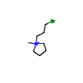 C[N+]1(CCCBr)CCCC1